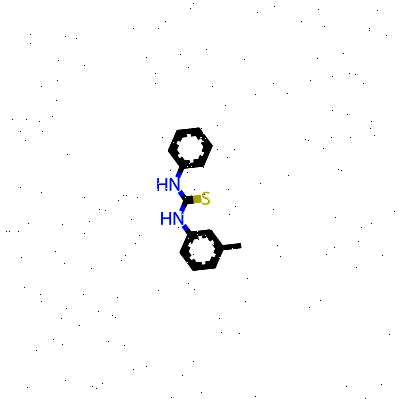 Cc1cccc(NC(=S)Nc2ccccc2)c1